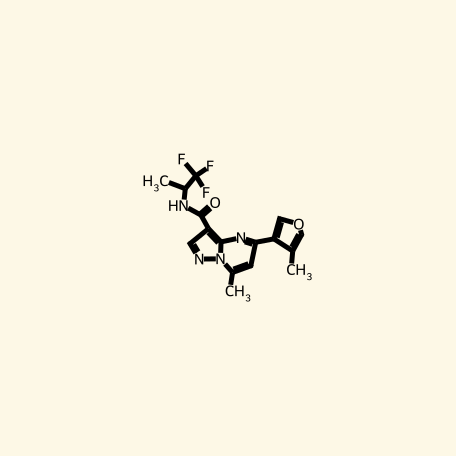 Cc1cocc1-c1cc(C)n2ncc(C(=O)NC(C)C(F)(F)F)c2n1